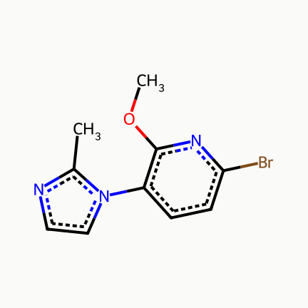 COc1nc(Br)ccc1-n1ccnc1C